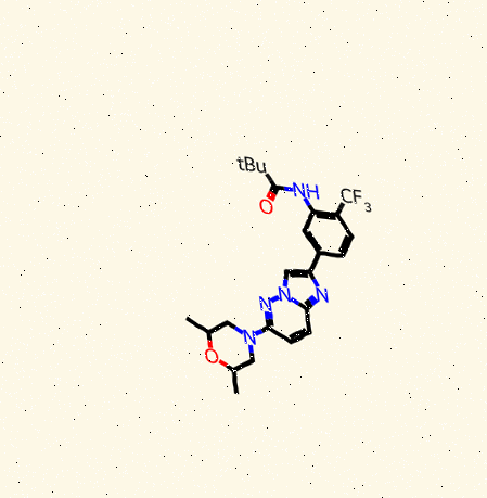 CC1CN(c2ccc3nc(-c4ccc(C(F)(F)F)c(NC(=O)C(C)(C)C)c4)cn3n2)CC(C)O1